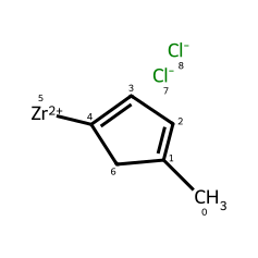 CC1=CC=[C]([Zr+2])C1.[Cl-].[Cl-]